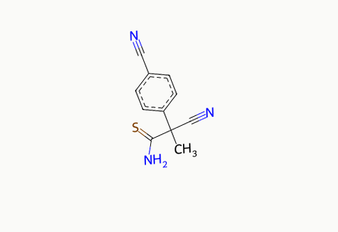 CC(C#N)(C(N)=S)c1ccc(C#N)cc1